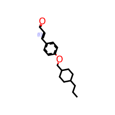 CCCC1CCC(COc2ccc(/C=C/C=O)cc2)CC1